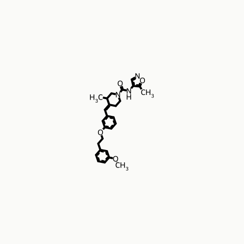 COc1cccc(CCOc2cccc(/C=C3\CCN(C(=O)Nc4cnoc4C)CC3C)c2)c1